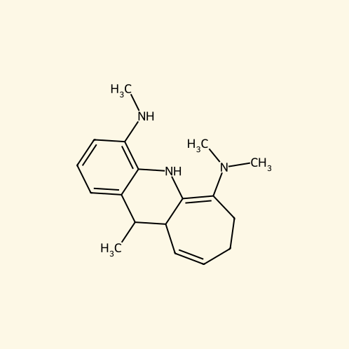 CNc1cccc2c1NC1=C(N(C)C)CCC=CC1C2C